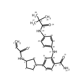 C=CC(=O)NC1CCN(c2ccc(C(N)=O)c(Nc3ccc(NC(=O)C(C)(C)C)cc3)n2)C1